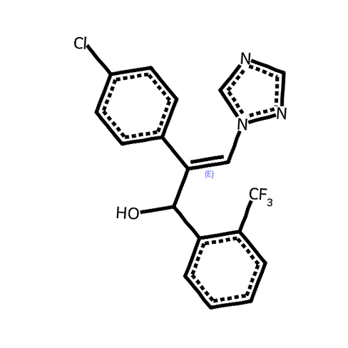 OC(/C(=C/n1cncn1)c1ccc(Cl)cc1)c1ccccc1C(F)(F)F